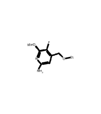 CCOCc1cc(N)nc(OC)c1F